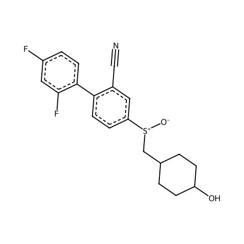 N#Cc1cc([S+]([O-])CC2CCC(O)CC2)ccc1-c1ccc(F)cc1F